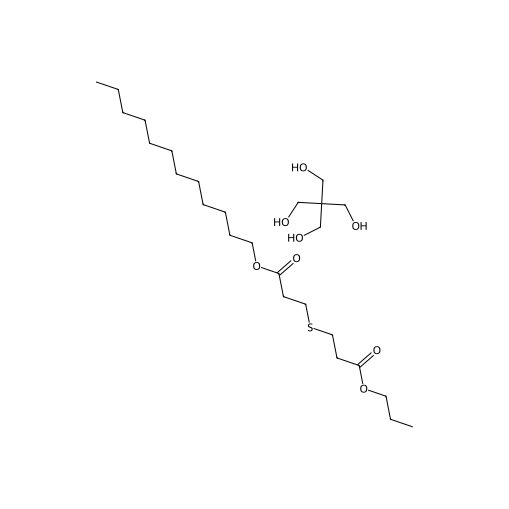 CCCCCCCCCCCCOC(=O)CCSCCC(=O)OCCC.OCC(CO)(CO)CO